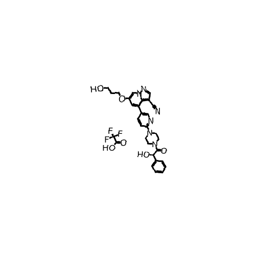 N#Cc1cnn2cc(OCCCO)cc(-c3ccc(N4CCN(C(=O)C(O)c5ccccc5)CC4)nc3)c12.O=C(O)C(F)(F)F